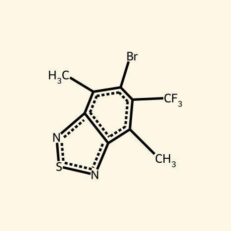 Cc1c(Br)c(C(F)(F)F)c(C)c2nsnc12